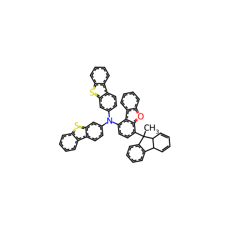 CC1(c2ccc(N(c3ccc4c(c3)sc3ccccc34)c3ccc4c(c3)sc3ccccc34)c3c2oc2ccccc23)c2ccccc2C2C=CC=CC21